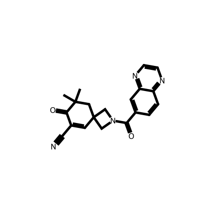 CC1(C)CC2(C=C(C#N)C1=O)CN(C(=O)c1ccc3nccnc3c1)C2